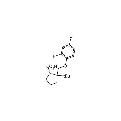 CC(C)(C)C1(COc2ccc(F)cc2F)CCCN1C(=O)O